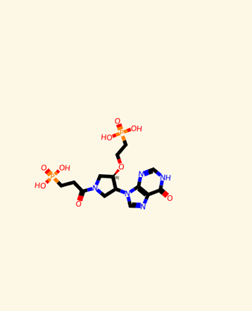 O=C(CCP(=O)(O)O)N1CC(n2cnc3c(=O)[nH]cnc32)[C@H](OCCP(=O)(O)O)C1